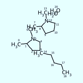 CC1CCCN1C.CC1CCCN1C.CCCCC.O.O